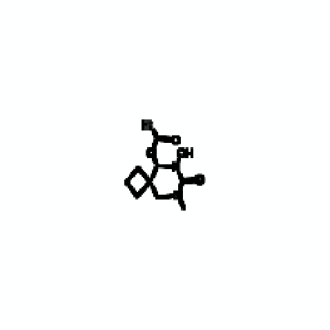 CCC(=O)OC1N(O)C(=O)N(C)CC12CCC2